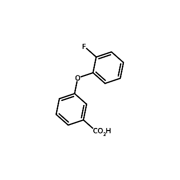 O=C(O)c1cccc(Oc2ccccc2F)c1